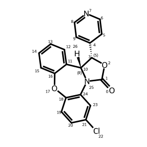 O=C1O[C@@H](c2ccncc2)[C@H]2c3ccccc3Oc3ccc(Cl)cc3N12